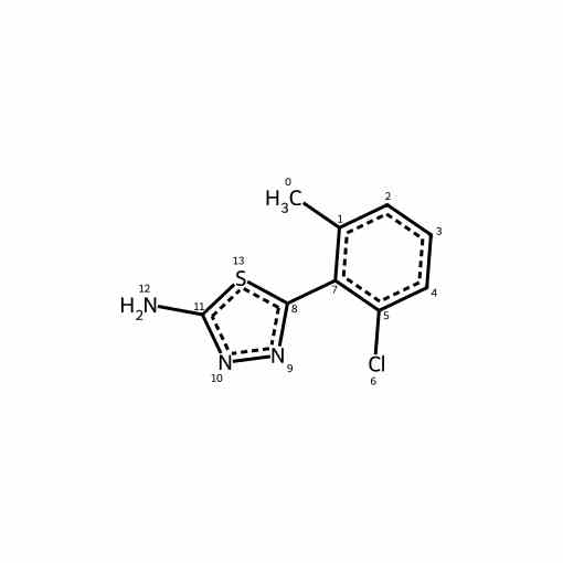 Cc1cccc(Cl)c1-c1nnc(N)s1